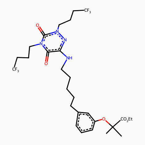 CCOC(=O)C(C)(C)Oc1cccc(CCCCCNc2nn(CCCC(F)(F)F)c(=O)n(CCCC(F)(F)F)c2=O)c1